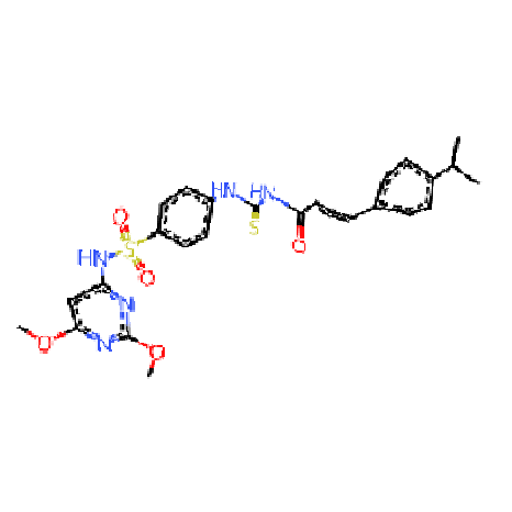 COc1cc(NS(=O)(=O)c2ccc(NC(=S)NC(=O)/C=C/c3ccc(C(C)C)cc3)cc2)nc(OC)n1